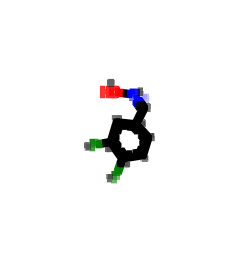 O/N=C\c1c[c]c(F)c(F)c1